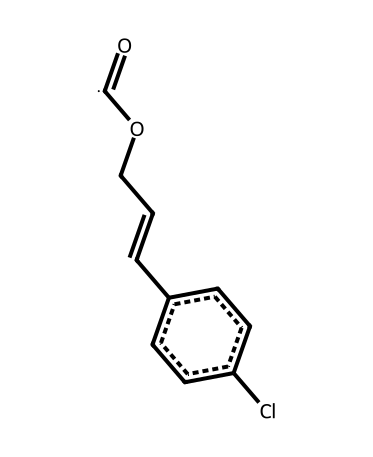 O=[C]OC/C=C/c1ccc(Cl)cc1